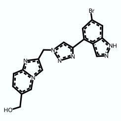 OCc1ccc2nc(Cn3cc(-c4cc(Br)cc5[nH]ncc45)nn3)cn2c1